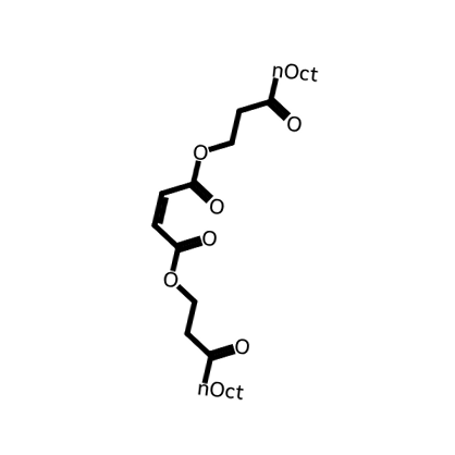 CCCCCCCCC(=O)CCOC(=O)/C=C\C(=O)OCCC(=O)CCCCCCCC